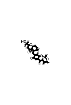 C/C=C(\C)C(OC(C)=O)C(C)C1=CC(=O)C2=C(OC3(C)CCC4OC(C(C)(C)O)CC(O)C4(C)C3C2)C1=O